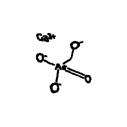 O=[As]([O-])([O-])[O-].[Ga+3]